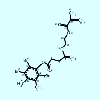 C=C(CCC(=O)Oc1c(Br)c(C)c(C)c(Br)c1Br)OCCOC(=O)C(=C)C